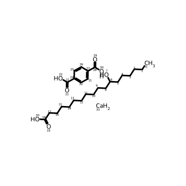 CCCCCCC(O)CCCCCCCCCCC(=O)O.O=C(O)c1ccc(C(=O)O)cc1.[CaH2]